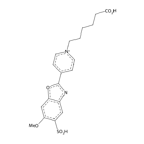 COc1cc2oc(-c3cc[n+](CCCCCC(=O)O)cc3)nc2cc1S(=O)(=O)O